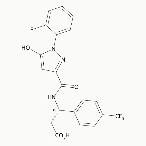 O=C(O)C[C@H](NC(=O)c1cc(O)n(-c2ccccc2F)n1)c1ccc(C(F)(F)F)cc1